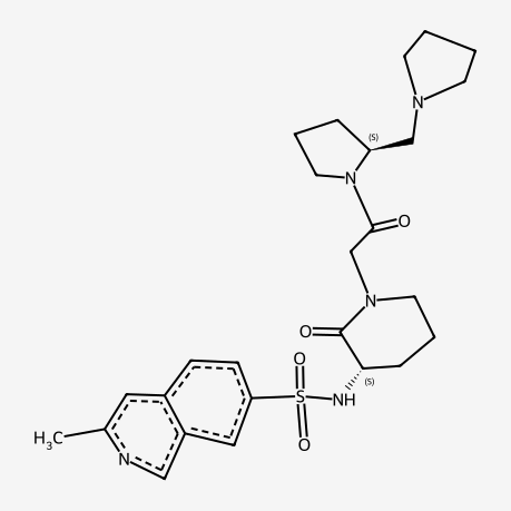 Cc1cc2ccc(S(=O)(=O)N[C@H]3CCCN(CC(=O)N4CCC[C@H]4CN4CCCC4)C3=O)cc2cn1